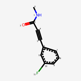 CNC(=O)C#Cc1cccc(F)c1